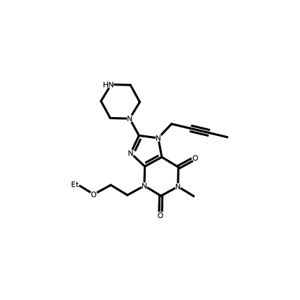 CC#CCn1c(N2CCNCC2)nc2c1c(=O)n(C)c(=O)n2CCOCC